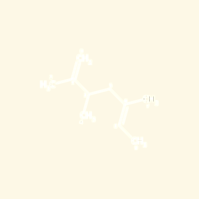 C=C(C)C(C)CC(C)=CC